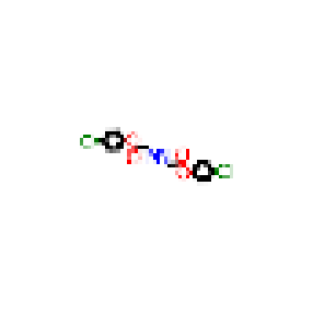 O=C(CN=NCC(=O)Oc1ccc(Cl)cc1)Oc1ccc(Cl)cc1